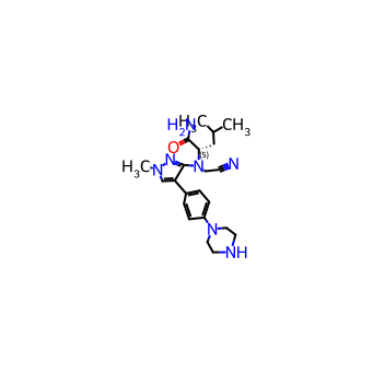 CC(C)C[C@@H](C(N)=O)N(CC#N)c1nn(C)cc1-c1ccc(N2CCNCC2)cc1